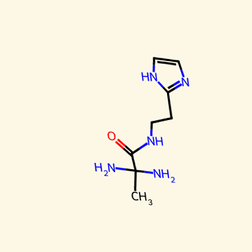 CC(N)(N)C(=O)NCCc1ncc[nH]1